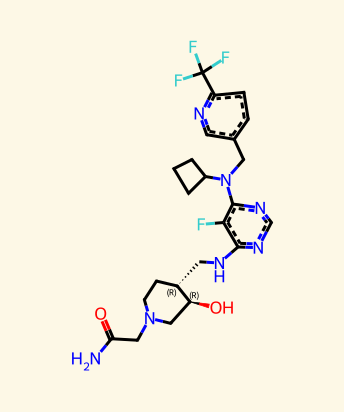 NC(=O)CN1CC[C@H](CNc2ncnc(N(Cc3ccc(C(F)(F)F)nc3)C3CCC3)c2F)[C@@H](O)C1